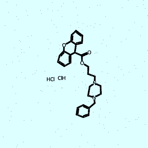 Cl.Cl.O=C(OCCCN1CCN(Cc2ccccc2)CC1)C1c2ccccc2Oc2ccccc21